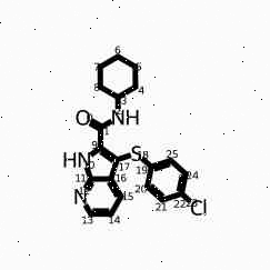 O=C(NC1CCCCC1)c1[nH]c2ncccc2c1Sc1ccc(Cl)cc1